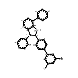 Brc1cc(Br)cc(-c2ccc(C3Nc4c(-c5ccccc5)ccnc4N3c3ccccc3)cc2)c1